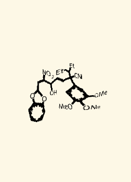 CCC(CC)C(C#N)(CCC(O)C(CC1Oc2ccccc2O1)[N+](=O)[O-])c1cc(OC)c(OC)c(OC)c1